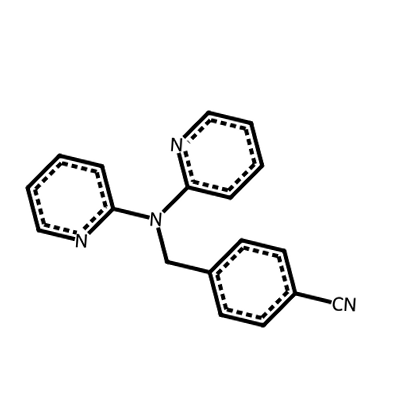 N#Cc1ccc(CN(c2ccccn2)c2ccccn2)cc1